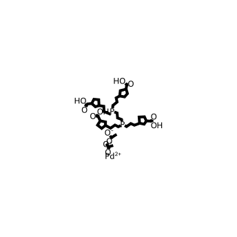 CC(=O)[O-].CC(=O)[O-].O=C(O)C1CCC(CCCP(CCCC2CCC(C(=O)O)C2)CCCP(CCCC2CCC(C(=O)O)C2)CCCC2CCC(C(=O)O)C2)C1.[Pd+2]